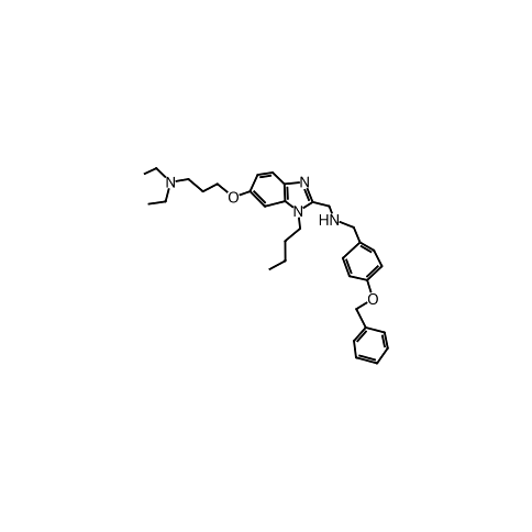 CCCCn1c(CNCc2ccc(OCc3ccccc3)cc2)nc2ccc(OCCCN(CC)CC)cc21